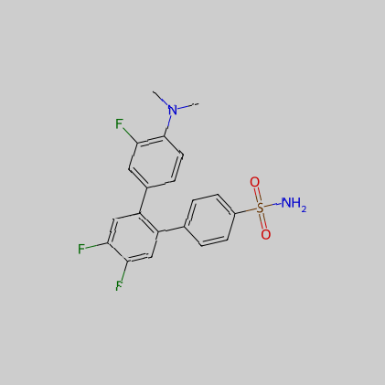 CN(C)c1ccc(-c2cc(F)c(F)cc2-c2ccc(S(N)(=O)=O)cc2)cc1F